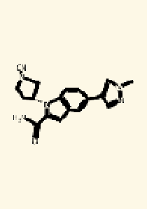 Cn1cc(-c2ccc3c(c2)cc(C(N)=O)n3[C@@H]2CCN(C#N)C2)cn1